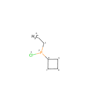 CCP(Cl)C1CCC1